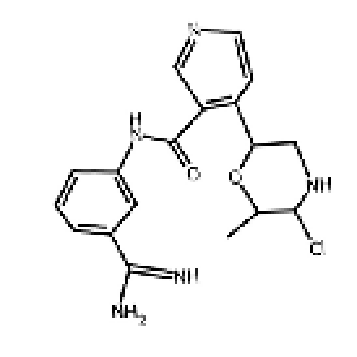 CC1OC(c2ccncc2C(=O)Nc2cccc(C(=N)N)c2)CNC1Cl